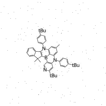 Cc1cc2c3c(c1)N(c1ccc(C(C)(C)C)cc1)c1cc(C(C)(C)C)ncc1B3C1=C(c3ccccc3C1(C)C)N2c1ccc(C(C)(C)C)cc1